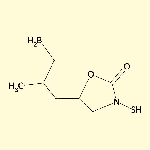 BCC(C)CC1CN(S)C(=O)O1